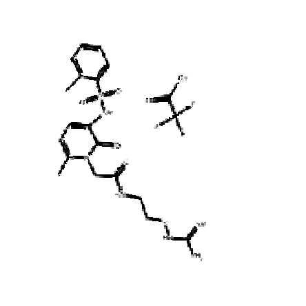 Cc1ccccc1S(=O)(=O)Nc1ccc(C)n(CC(=O)NCCONC(=N)N)c1=O.O=C(O)C(F)(F)F